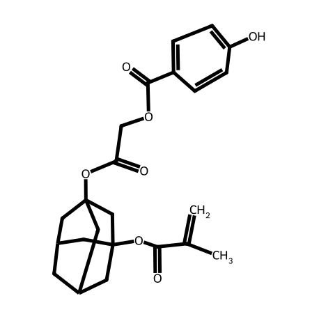 C=C(C)C(=O)OC12CC3CC(CC(OC(=O)COC(=O)c4ccc(O)cc4)(C3)C1)C2